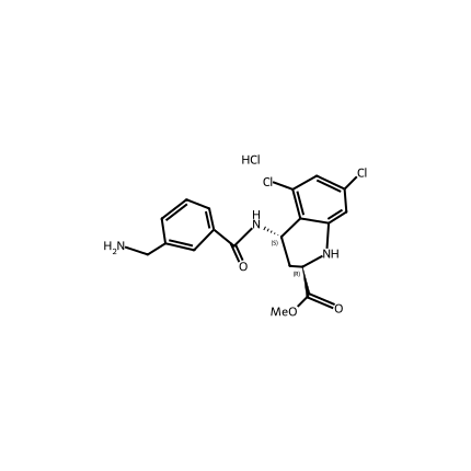 COC(=O)[C@H]1C[C@H](NC(=O)c2cccc(CN)c2)c2c(Cl)cc(Cl)cc2N1.Cl